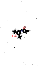 C=C1CC/C(=C\c2cc(C(C)(C)C)c(O)c(C(C)(C)C)c2)C1=O